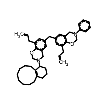 C=CCc1cc(Cc2cc(CC=C)c3c(c2)CN(C2CCCC4=C2CCCCCCCC4)CO3)cc2c1OCN(c1ccccc1)C2